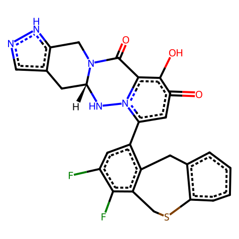 O=C1c2c(O)c(=O)cc(-c3cc(F)c(F)c4c3Cc3ccccc3SC4)n2N[C@@H]2Cc3cn[nH]c3CN12